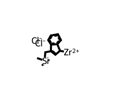 C[Si](C)(C)CC1=C[CH]([Zr+2])c2ccccc21.[Cl-].[Cl-]